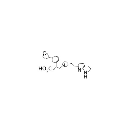 O=C(O)C[C@H](CN1CCC(CCc2ccc3c(n2)NCCC3)C1)c1cccc(C2CCOC2)c1